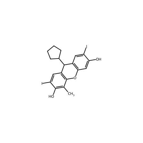 Cc1c(O)c(I)cc2c1Oc1cc(O)c(I)cc1C2C1CCCC1